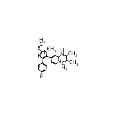 CSc1nc(-c2ccc(F)cc2)c(-c2ccnc(NC(C)C(C)C)c2)n1C